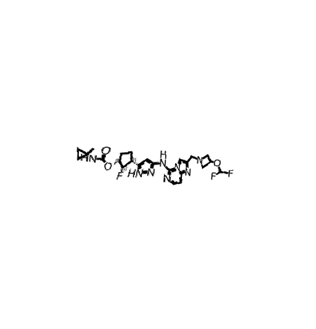 CC1(NC(=O)O[C@@H]2CC[C@H](c3cc(Nc4nccc5nc(CN6CC(OC(F)F)C6)cn45)n[nH]3)[C@@H]2F)CC1